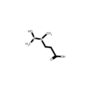 CB(O)N(C)CCC(=O)O